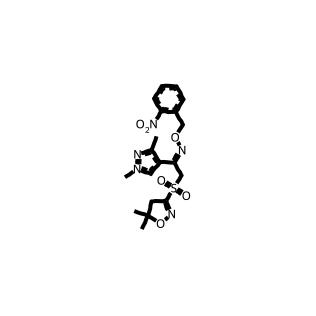 Cc1nn(C)cc1C(CS(=O)(=O)C1=NOC(C)(C)C1)=NOCc1ccccc1[N+](=O)[O-]